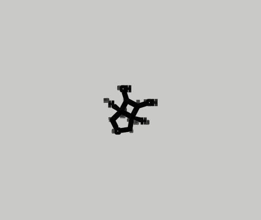 OC1C(O)[C@@H]2COC[C@H]12